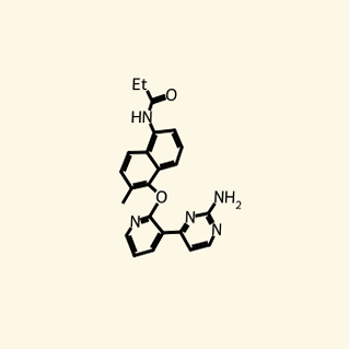 CCC(=O)Nc1cccc2c(Oc3ncccc3-c3ccnc(N)n3)c(C)ccc12